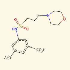 CC(=O)Oc1cc(NS(=O)(=O)CCCN2CCOCC2)cc(C(=O)O)c1